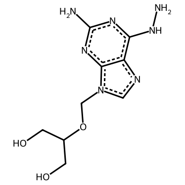 NNc1nc(N)nc2c1ncn2COC(CO)CO